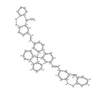 CN1c2ccccc2CCc2ccc(/C=C/c3ccc4c(c3)C3(c5ccccc5-c5ccccc53)c3cc(/C=C/c5ccc6c(c5)Nc5ccccc5CC6)ccc3-4)cc21